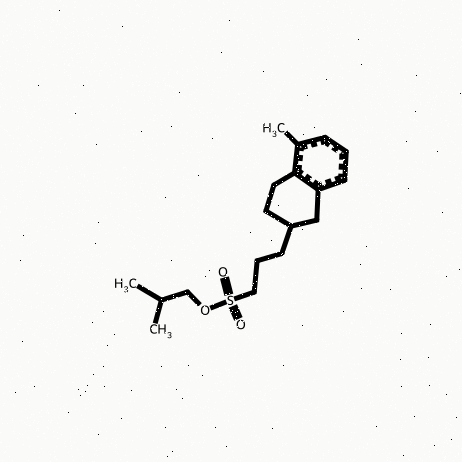 Cc1cccc2c1CCC(CCCS(=O)(=O)OCC(C)C)C2